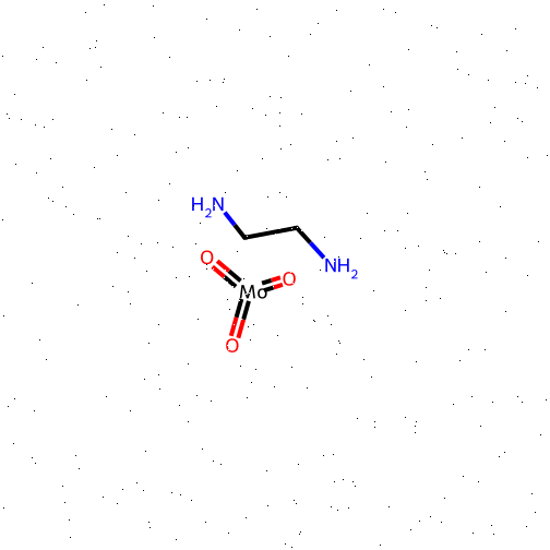 NCCN.[O]=[Mo](=[O])=[O]